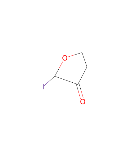 O=C1CCOC1I